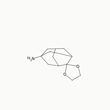 NC12CC3CC(C1)C1(OCCO1)C(C3)C2